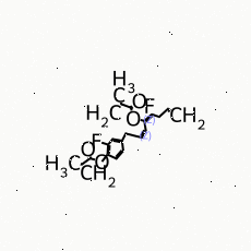 C=CC/C(F)=C(\C=C/Cc1ccc(OC(=O)C(=C)C)c(F)c1)OC(=O)C(=C)C